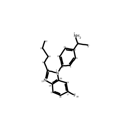 [CH2]C(N)c1ccc(-n2c(CCCC)nc3ccc(F)cc32)cc1